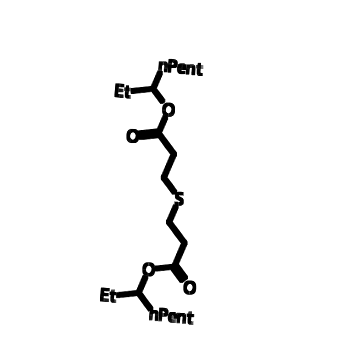 CCCCCC(CC)OC(=O)CCSCCC(=O)OC(CC)CCCCC